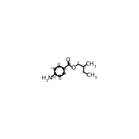 CCC(C)COC(=O)c1ccc(N)cc1